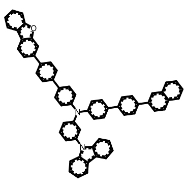 c1cc(N(c2ccc(-c3ccc(-c4ccc5ccccc5c4)cc3)cc2)c2ccc(-c3ccc(-c4ccc5c(c4)oc4ccccc45)cc3)cc2)cc(-n2c3ccccc3c3ccccc32)c1